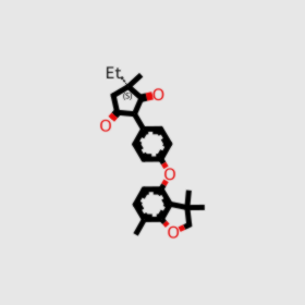 CC[C@@]1(C)CC(=O)C(c2ccc(Oc3ccc(C)c4c3C(C)(C)CO4)cc2)C1=O